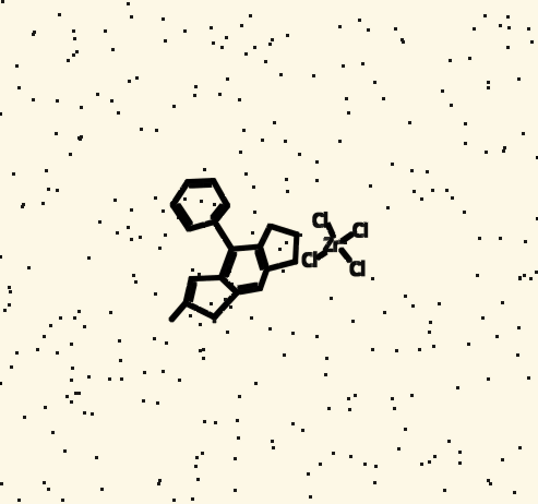 CC1=Cc2c(cc3c(c2-c2ccccc2)CCC3)[CH]1.[Cl][Zr]([Cl])([Cl])[Cl]